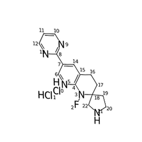 Cl.Cl.FN1c2ncc(-c3ncccn3)cc2CCC12CCNC2